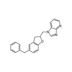 c1ccc(Cc2ccc3c(c2)CC(Cn2cnc4ncccc42)O3)cc1